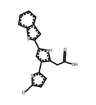 O=C(O)Cc1[nH]c(-c2cc3ccccc3s2)cc1-c1ccc(Cl)s1